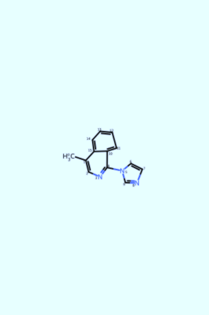 Cc1cnc(-n2ccnc2)c2ccccc12